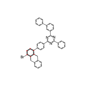 Brc1ccc(-c2ccc(-c3nc(-c4ccccc4)nc(-c4cccc(-c5ccccc5)c4)n3)cc2)c2c1C1c3ccccc3C2c2ccccc21